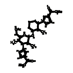 COC(=O)c1cn(C2CCC[C@@H](O[C@@H]3OC(COC(C)=O)[C@H](C)[C@H](n4cc(C(=O)OC)nn4)C3C)C2C)nn1